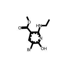 CCNc1nc(O)c(Br)cc1C(=O)OC